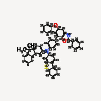 CC1(C)c2ccccc2-c2cc(N(c3ccc(-c4c5oc(-c6ccccc6)nc5cc5oc6ccccc6c45)cc3)c3ccc4c(c3)sc3ccccc34)ccc21